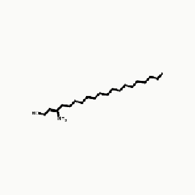 CCC[CH]CCCCCCCCCCCCCC(N)=CCO